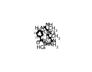 CC(C)(N=NC(C)(C)C(=N)N)C(=N)N.Cl.Cl.O=C(OO)c1ccccc1